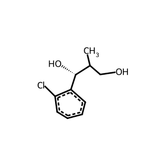 CC(CO)[C@@H](O)c1ccccc1Cl